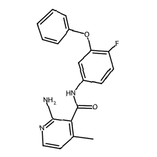 Cc1ccnc(N)c1C(=O)Nc1ccc(F)c(Oc2ccccc2)c1